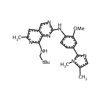 COc1cc(-c2ncc(C)n2C)ccc1Nc1ncc2cc(C)nc(NCC(C)(C)C)c2n1